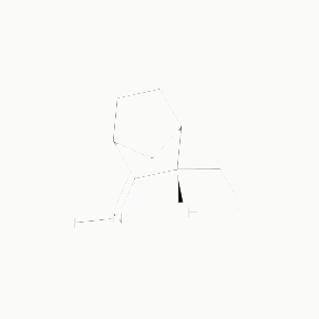 CC[C@]1(C)/C(=N/I)[C@@]2(C)CC[C@@H]1C2